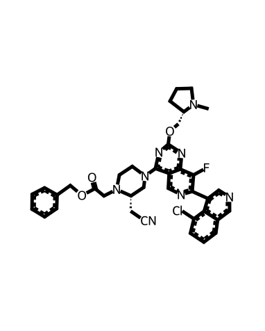 CN1CCC[C@H]1COc1nc(N2CCN(CC(=O)OCc3ccccc3)[C@@H](CC#N)C2)c2cnc(-c3cncc4cccc(Cl)c34)c(F)c2n1